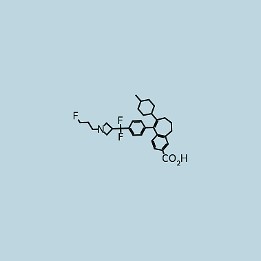 CC1CCC(C2=C(c3ccc(C(F)(F)C4CN(CCCF)C4)cc3)c3ccc(C(=O)O)cc3CCC2)CC1